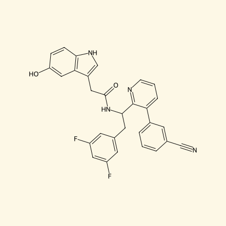 N#Cc1cccc(-c2cccnc2C(Cc2cc(F)cc(F)c2)NC(=O)Cc2c[nH]c3ccc(O)cc23)c1